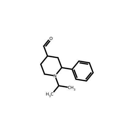 CC(C)N1CCC(C=O)CC1c1ccccc1